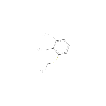 COc1cccc(SCC#N)c1OC